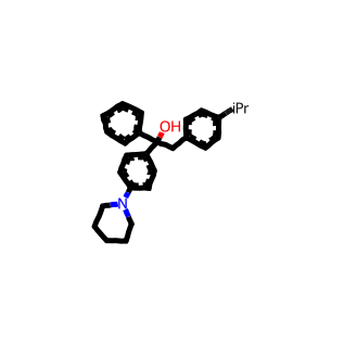 CC(C)c1ccc(CC(O)(c2ccccc2)c2ccc(N3CCCCC3)cc2)cc1